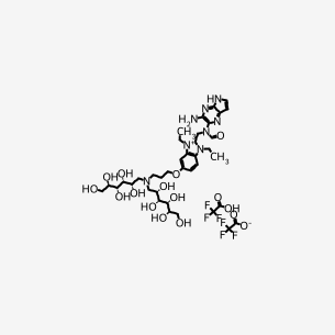 CCn1c(CN(C=O)c2nc3cc[nH]c3nc2N)[n+](CC)c2cc(OCCCN(C[C@H](O)[C@@H](O)[C@H](O)[C@H](O)CO)C[C@H](O)[C@@H](O)[C@H](O)[C@H](O)CO)ccc21.O=C(O)C(F)(F)F.O=C([O-])C(F)(F)F